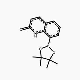 CC1(C)OB(c2cccc3ccc(=O)[nH]c23)OC1(C)C